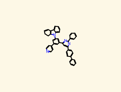 C1=Cc2c(n(-c3cc(-c4ccncc4)cc(-c4cc(-c5ccc(-c6ccccc6)cc5)nc(-c5ccccc5)n4)c3)c3ccccc23)CC1